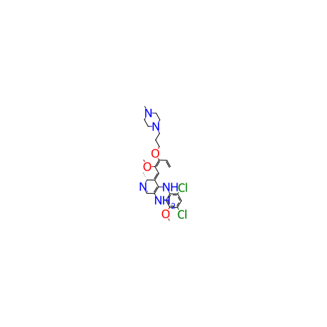 C=C/C(OCCCN1CCN(C)CC1)=C(\C=C1\C(Nc2cc(OC)c(Cl)cc2Cl)=C(N)C=N[C@@H]1C)OC